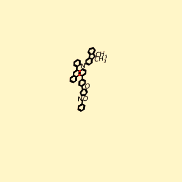 CC1(C)c2ccccc2-c2cc(N(c3ccc(-c4ccc5c(c4)oc4cc6oc(-c7ccccc7)nc6cc45)cc3)c3ccccc3-c3ccc4ccccc4c3)ccc21